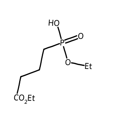 CCOC(=O)CCCP(=O)(O)OCC